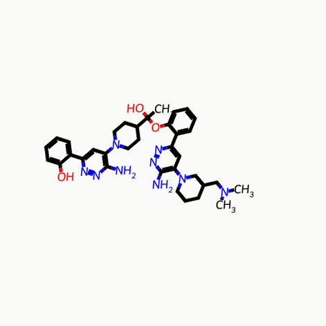 CN(C)CC1CCCN(c2cc(-c3ccccc3OC(C)(O)C3CCN(c4cc(-c5ccccc5O)nnc4N)CC3)nnc2N)C1